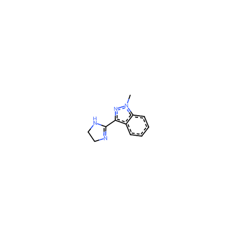 Cn1nc(C2=NCCN2)c2ccccc21